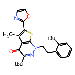 CCC(C)c1ccccc1CCn1nc(C(C)(C)C)c(=O)c2c(C)c(-c3ncco3)sc21